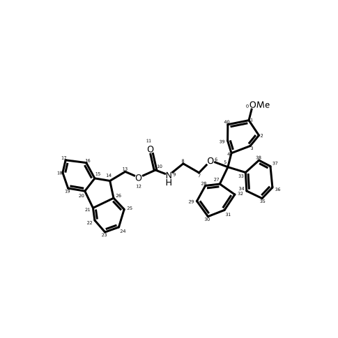 COc1ccc(C(OCCNC(=O)OCC2c3ccccc3-c3ccccc32)(c2ccccc2)c2ccccc2)cc1